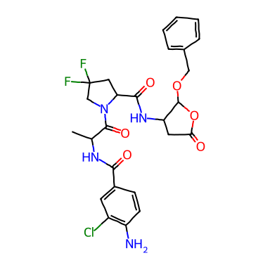 CC(NC(=O)c1ccc(N)c(Cl)c1)C(=O)N1CC(F)(F)CC1C(=O)NC1CC(=O)OC1OCc1ccccc1